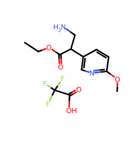 CCOC(=O)C(CN)c1ccc(OC)nc1.O=C(O)C(F)(F)F